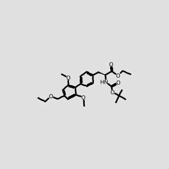 CCOCc1cc(OC)c(-c2ccc(C[C@H](NC(=O)OC(C)(C)C)C(=O)OCC)cc2)c(OC)c1